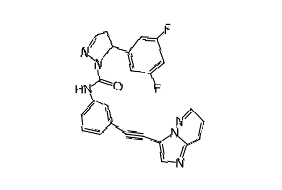 O=C(Nc1cccc(C#Cc2cnc3cccnn23)c1)N1N=CCC1c1cc(F)cc(F)c1